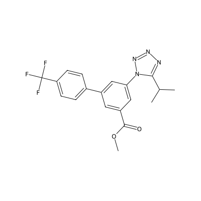 COC(=O)c1cc(-c2ccc(C(F)(F)F)cc2)cc(-n2nnnc2C(C)C)c1